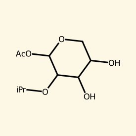 CC(=O)OC1OCC(O)C(O)C1OC(C)C